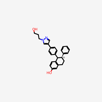 OCCCn1cc(-c2ccc(C3c4ccc(O)cc4CC[C@@H]3c3ccccc3)cc2)cn1